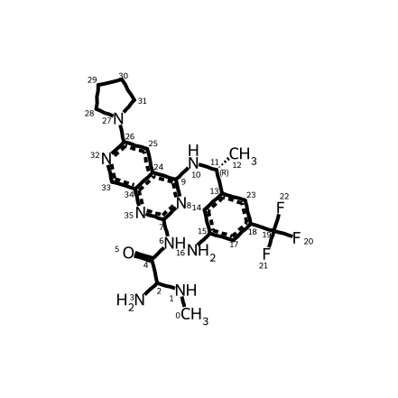 CNC(N)C(=O)Nc1nc(N[C@H](C)c2cc(N)cc(C(F)(F)F)c2)c2cc(N3CCCC3)ncc2n1